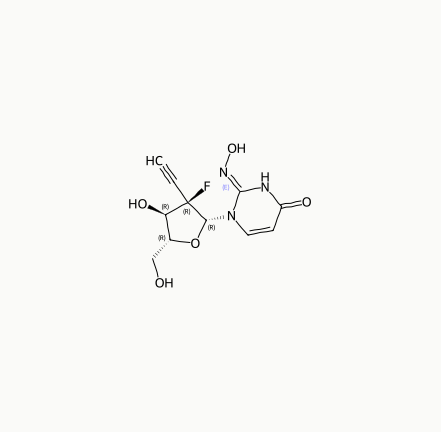 C#C[C@@]1(F)[C@H](O)[C@@H](CO)O[C@H]1n1ccc(=O)[nH]/c1=N\O